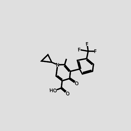 Cc1c(-c2cccc(C(F)(F)F)c2)c(=O)c(C(=O)O)cn1C1CC1